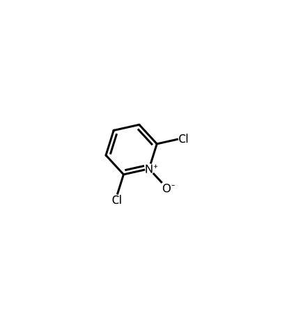 [O-][n+]1c(Cl)cccc1Cl